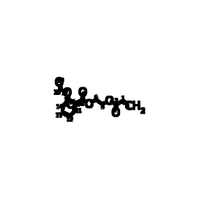 C=CC(=O)OCCOC(=O)C1C2C=CC(O2)C1OC=O